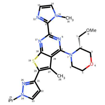 COC[C@@H]1COCCN1c1nc(-c2nccn2C)nc2sc(-c3ccn(C(C)C)n3)c(C)c12